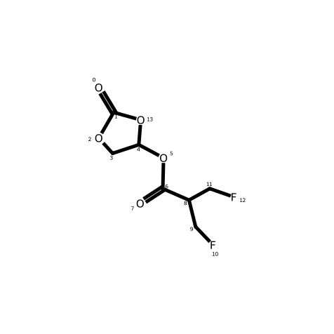 O=C1OCC(OC(=O)C(CF)CF)O1